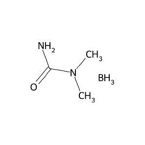 B.CN(C)C(N)=O